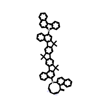 C=C1/C=C\C=C/CN(c2cc3c(c4ccccc24)-c2cc4c(cc2C3(C)C)-c2cc3c(cc2C4(C)C)-c2c(cc(-n4c5ccccc5c5c6ccccc6ccc54)c4ccccc24)C3(C)C)c2ccc3ccccc3c21